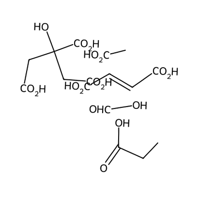 CC(=O)O.CCC(=O)O.O=C(O)C=CC(=O)O.O=C(O)CC(O)(CC(=O)O)C(=O)O.O=CO